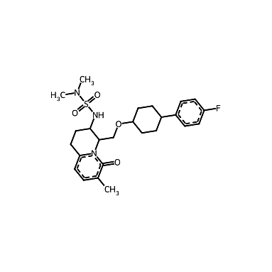 Cc1ccc2n(c1=O)C(COC1CCC(c3ccc(F)cc3)CC1)C(NS(=O)(=O)N(C)C)CC2